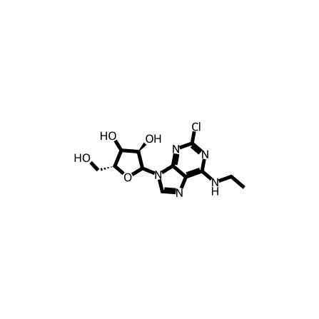 CCNc1nc(Cl)nc2c1ncn2C1O[C@H](CO)C(O)[C@H]1O